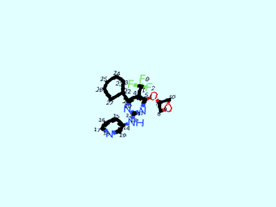 FC(F)(F)c1c(OC2COC2)nc(Nc2cccnc2)nc1C1CCCCC1